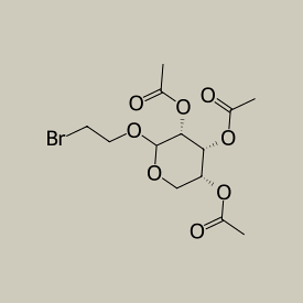 CC(=O)O[C@@H]1[C@H](OC(C)=O)COC(OCCBr)[C@@H]1OC(C)=O